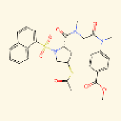 COC(=O)c1ccc(N(C)C(=O)CN(C)C(=O)[C@@H]2C[C@@H](SC(C)=O)CN2S(=O)(=O)c2cccc3ccccc23)cc1